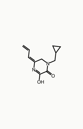 C=C/C=C1\CN(CC2CC2)C(=O)C(O)=N1